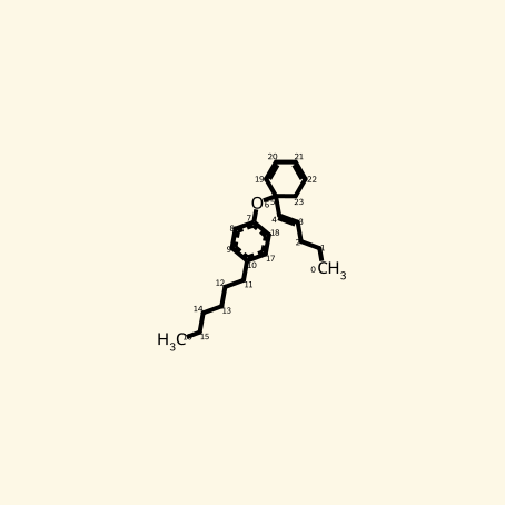 CCCC=CC1(Oc2ccc(CCCCCC)cc2)C=CC=CC1